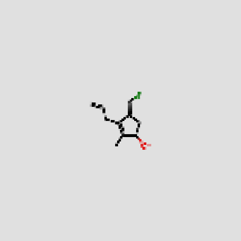 C=CCC1=C(C)C(O)CC1=CF